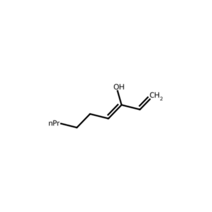 C=C/C(O)=C/CCCCC